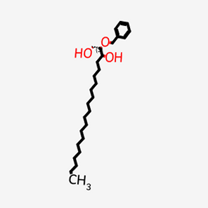 CCCCCCCCCCCCCCCCCCC(O)[C@H](CO)OCc1ccccc1